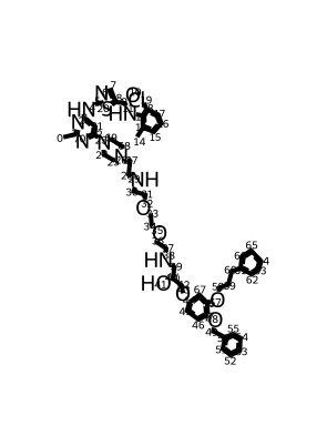 Cc1nc(Nc2ncc(C(=O)Nc3c(C)cccc3Cl)s2)cc(N2CCN(CCNCCOCCOCCNC[C@@H](O)COc3ccc(OCc4ccccc4)c(OCCCc4ccccc4)c3)CC2)n1